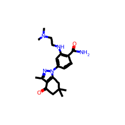 Cc1nn(-c2ccc(C(N)=O)c(NCCN(C)C)c2)c2c1C(=O)CC(C)(C)C2